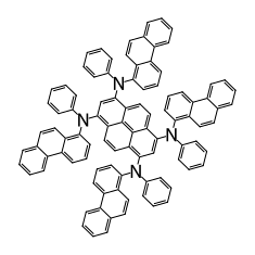 c1ccc(N(c2cccc3c2ccc2ccccc23)c2cc(N(c3ccccc3)c3cccc4c3ccc3ccccc34)c3ccc4c(N(c5ccccc5)c5cccc6c5ccc5ccccc56)cc(N(c5ccccc5)c5cccc6c5ccc5ccccc56)c5ccc2c3c54)cc1